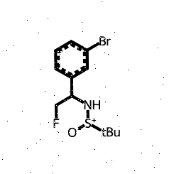 CC(C)(C)[S+]([O-])NC(CF)c1cccc(Br)c1